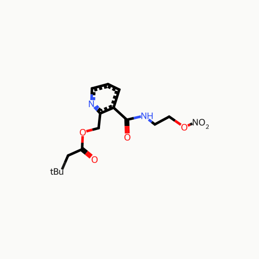 CC(C)(C)CC(=O)OCc1ncccc1C(=O)NCCO[N+](=O)[O-]